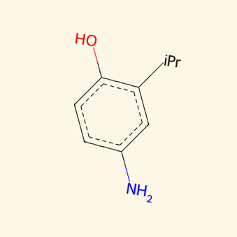 CC(C)c1cc(N)ccc1O